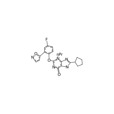 CCCn1c(Oc2ccc(F)cc2-c2ccno2)nc(=O)c2c1N=C(C1CCCC1)[N]2